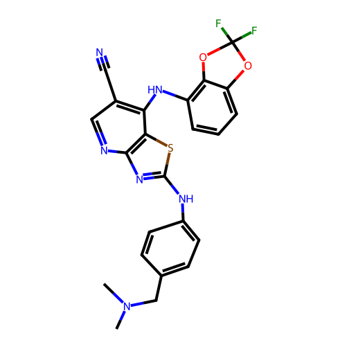 CN(C)Cc1ccc(Nc2nc3ncc(C#N)c(Nc4cccc5c4OC(F)(F)O5)c3s2)cc1